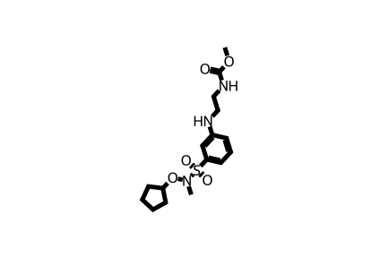 COC(=O)NCCNc1cccc(S(=O)(=O)N(C)OC2CCCC2)c1